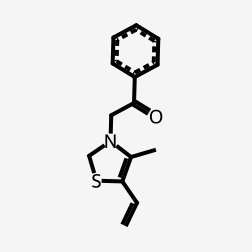 C=CC1=C(C)N(CC(=O)c2ccccc2)CS1